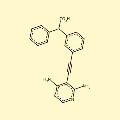 Nc1ncnc(N)c1C#Cc1cccc(N(C(=O)O)c2ccccc2)c1